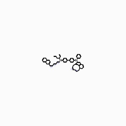 C=CCC(C=C)N(/C=C/C=C/C=C\C1=CC=C2CC=CC=C2C1)c1ccc(-c2ccc(N(c3ccccc3)c3cc4c5cc3C/C=C\C=C\CC5CC=C4)cc2)cc1